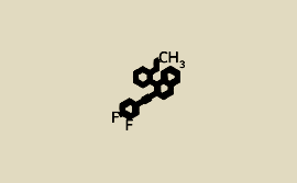 CCCC1CCCCC1c1c(C#Cc2ccc(F)c(F)c2)ccc2ccccc12